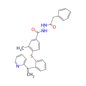 C=C(c1ccccn1)c1ccccc1Sc1ccc(C(=O)NNC(=O)Cc2ccccc2)cc1C